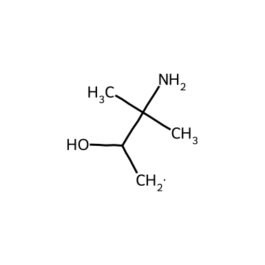 [CH2]C(O)C(C)(C)N